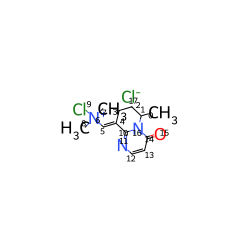 CC1CCC(=C[N+](C)(C)Cl)c2nccc(=O)n21.[Cl-]